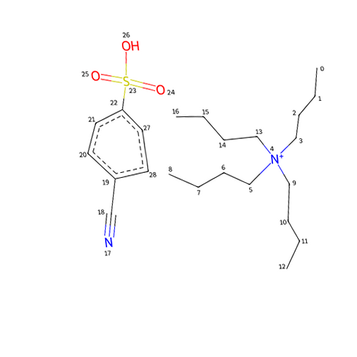 CCCC[N+](CCCC)(CCCC)CCCC.N#Cc1ccc(S(=O)(=O)O)cc1